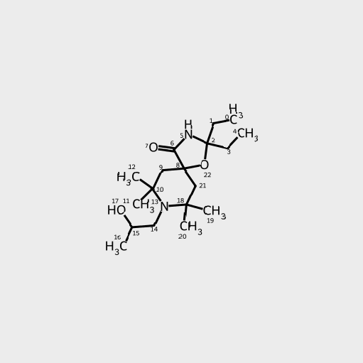 CCC1(CC)NC(=O)C2(CC(C)(C)N(CC(C)O)C(C)(C)C2)O1